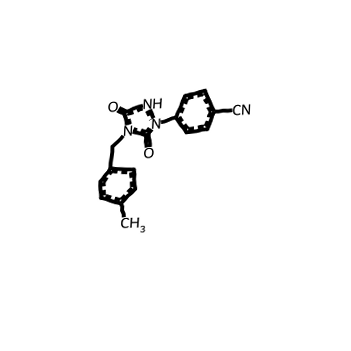 Cc1ccc(Cn2c(=O)[nH]n(-c3ccc(C#N)cc3)c2=O)cc1